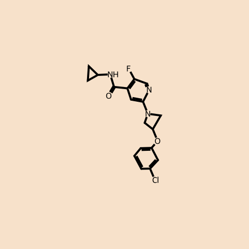 O=C(NC1CC1)c1cc(N2CC(Oc3cccc(Cl)c3)C2)ncc1F